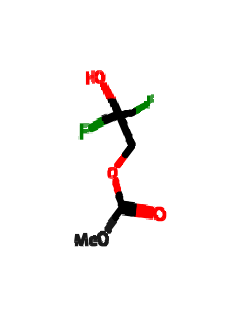 COC(=O)OCC(O)(F)F